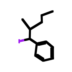 CCCC(C)C(I)c1ccccc1